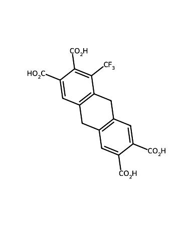 O=C(O)c1cc2c(cc1C(=O)O)Cc1c(cc(C(=O)O)c(C(=O)O)c1C(F)(F)F)C2